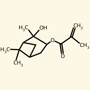 C=C(C)C(=O)OC1CC2CC(C2(C)C)C1(C)O